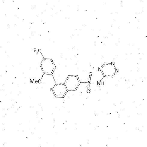 COc1cc(C(F)(F)F)ccc1-c1nccc2cc(S(=O)(=O)Nc3cnncn3)ccc12